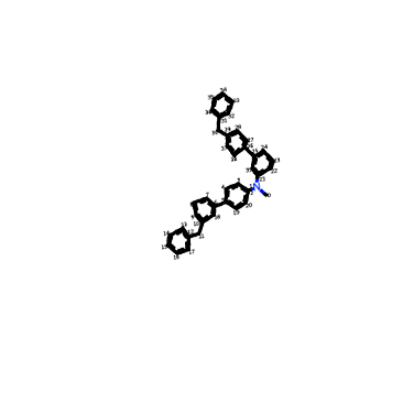 CN(c1ccc(-c2cccc(Cc3ccccc3)c2)cc1)c1cccc(-c2ccc(Cc3ccccc3)cc2)c1